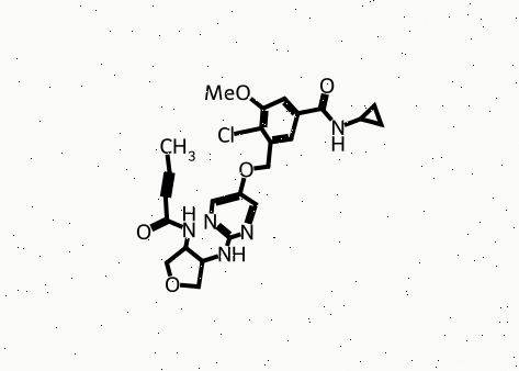 CC#CC(=O)NC1COCC1Nc1ncc(OCc2cc(C(=O)NC3CC3)cc(OC)c2Cl)cn1